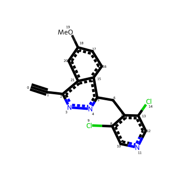 C#Cc1nnc(Cc2c(Cl)cncc2Cl)c2ccc(OC)cc12